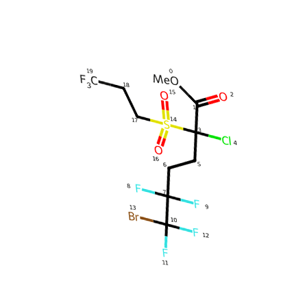 COC(=O)C(Cl)(CCC(F)(F)C(F)(F)Br)S(=O)(=O)CCC(F)(F)F